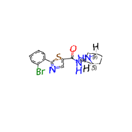 O=C(N[C@@H]1C[C@H]2CC[C@@H]1N2)c1cnc(-c2ccccc2Br)s1